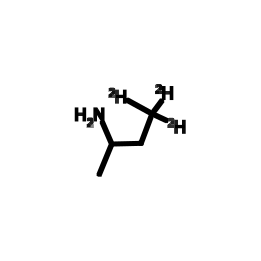 [2H]C([2H])([2H])CC(C)N